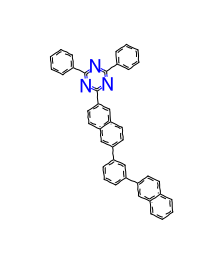 c1ccc(-c2nc(-c3ccccc3)nc(-c3ccc4cc(-c5cccc(-c6ccc7ccccc7c6)c5)ccc4c3)n2)cc1